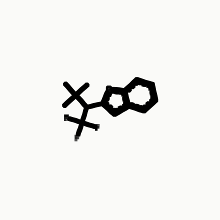 CC(C)(C)C(c1cc2ccccc2o1)C(F)(F)F